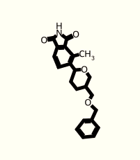 Cc1c(C2CCC(COCc3ccccc3)CO2)ccc2c1C(=O)NC2=O